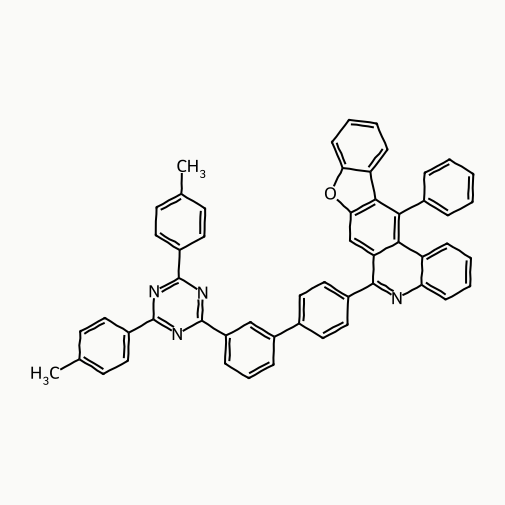 Cc1ccc(-c2nc(-c3ccc(C)cc3)nc(-c3cccc(-c4ccc(-c5nc6ccccc6c6c(-c7ccccc7)c7c(cc56)oc5ccccc57)cc4)c3)n2)cc1